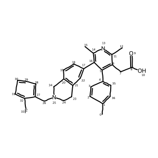 Cc1ccc(-c2c(CC(=O)O)c(C)nc(C)c2-c2ccc3c(c2)CCN(Cc2ccccc2F)C3)cc1